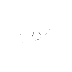 CCC(C)c1ccc(N(CC)CC)cc1